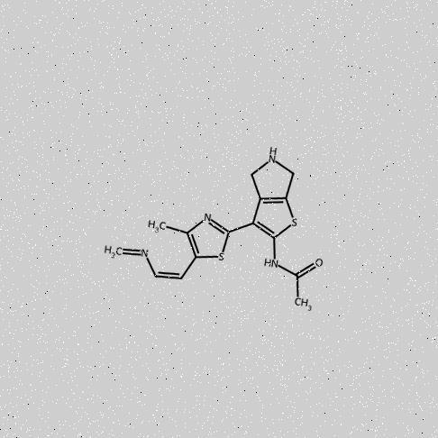 C=N/C=C\c1sc(-c2c(NC(C)=O)sc3c2CNC3)nc1C